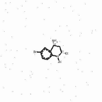 CC[C@H]1C[C@@H](N)c2cc(Br)ccc2N1C(C)=O